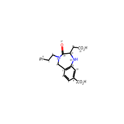 CC(C)CCN1Cc2ccc(C(=O)O)cc2NC(CC(=O)O)C1=O